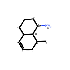 CC1CC=CC2CCCC(N)C12